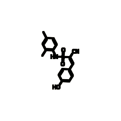 Cc1ccc(NS(=O)(=O)/C(C#N)=C\c2ccc(O)cc2)c(C)c1